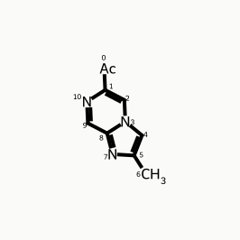 CC(=O)c1cn2cc(C)nc2cn1